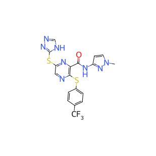 Cn1ccc(NC(=O)c2nc(Sc3nnc[nH]3)cnc2Sc2ccc(C(F)(F)F)cc2)n1